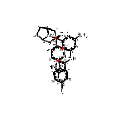 Cc1cc(Nc2cc(C)[nH]n2)nc(N2CC3CCC(C2)N3C(=O)c2ccc(-c3ccc(F)cc3)nn2)n1